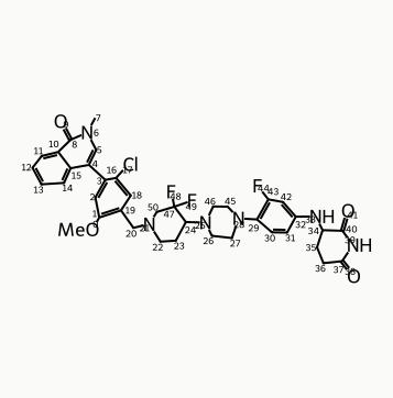 COc1cc(-c2cn(C)c(=O)c3ccccc23)c(Cl)cc1CN1CCC(N2CCN(c3ccc(NC4CCC(=O)NC4=O)cc3F)CC2)C(F)(F)C1